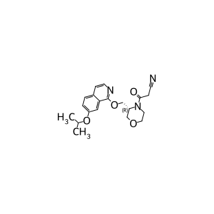 CC(C)Oc1ccc2ccnc(OC[C@H]3COCCN3C(=O)CC#N)c2c1